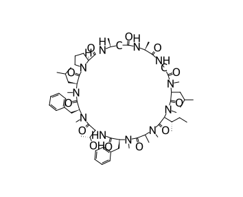 CC[C@H](C)C1C(=O)N(C)C(C)C(=O)N(C)[C@@H](Cc2ccccc2)C(=O)N[C@@H]([C@@H](C)O)C(=O)N(C)[C@@H](Cc2ccccc2)C(=O)N(C)[C@@H](CC(C)C)C(=O)N2CCC[C@H]2C(=O)N[C@@H](C)CC(=O)N[C@@H](C)C(=O)NCC(=O)N(C)C(CC(C)C)C(=O)N1C